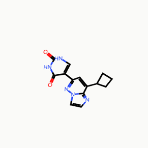 O=c1[nH]cc(-c2cc(C3CCC3)c3nccn3n2)c(=O)[nH]1